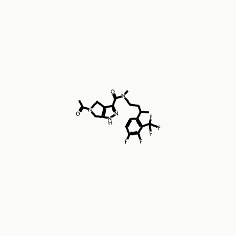 CC(=O)N1Cc2[nH]nc(C(=O)N(C)CCC(C)c3ccc(F)c(F)c3C(F)(F)F)c2C1